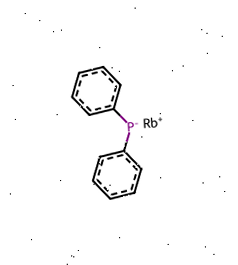 [Rb+].c1ccc([P-]c2ccccc2)cc1